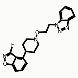 Fc1noc2cccc(C3CCN(OCCn4nnc5ccccc54)CC3)c12